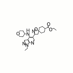 CCOC(=O)C1CCC2(CC1)CC(c1cnc3c(cnn3CC)c1NC1CCOCC1)=NO2